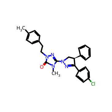 Cc1ccc(CCn2nc(N3C[C@@H](c4ccccc4)C(c4ccc(Cl)cc4)=N3)n(C)c2=O)cc1